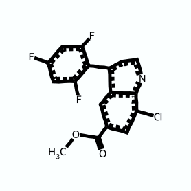 COC(=O)c1cc(Cl)c2nccc(-c3c(F)cc(F)cc3F)c2c1